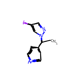 CC(c1ccncc1)n1cc(I)cn1